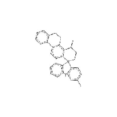 Cc1ccc(C2(c3ccccc3F)CCC(C)c3c2ccc2c3CCc3ccccc3-2)cc1